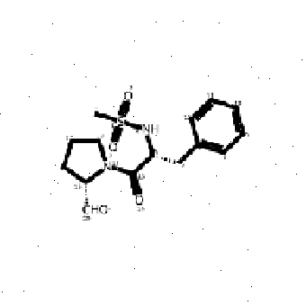 CS(=O)(=O)N[C@H](Cc1ccccc1)C(=O)N1CCC[C@H]1[C]=O